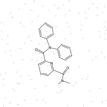 CN(C)C(=O)c1cccc(C(=O)N(c2ccccc2)c2ccccc2)n1